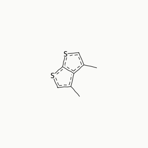 Cc1csc2scc(C)c12